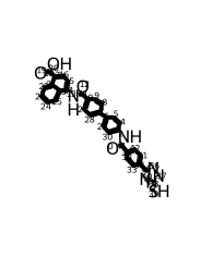 O=C(Nc1ccc(-c2ccc(C(=O)Nc3ccc(C(=O)O)c4ccccc34)cc2)cc1)c1ccc(-c2nnn(S)n2)cc1